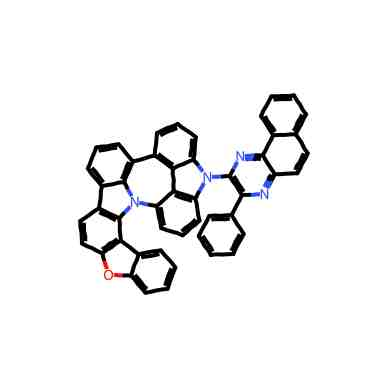 c1ccc(-c2nc3ccc4ccccc4c3nc2-n2c3cccc4c5cccc6c7ccc8oc9ccccc9c8c7n(c7cccc2c7c43)c56)cc1